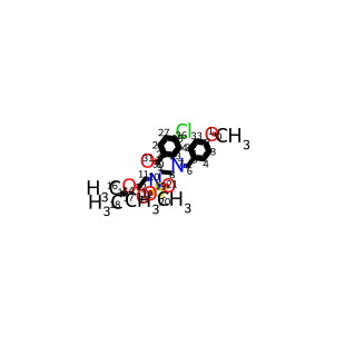 COc1ccc(CN(CCN(CC(=O)OC(C)(C)C)S(C)(=O)=O)c2cc(Cl)ccc2C=O)cc1